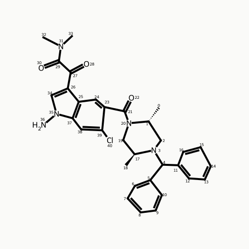 C[C@@H]1CN(C(c2ccccc2)c2ccccc2)[C@@H](C)CN1C(=O)c1cc2c(C(=O)C(=O)N(C)C)cn(N)c2cc1Cl